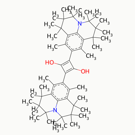 Cc1c(C2=C(O)C(c3c(C)c4c5c(c3C)C(C)(C)C(C)(C)C(C)(C)N5C(C)(C)C(C)(C)C4(C)C)=C2O)c(C)c2c3c1C(C)(C)C(C)(C)C(C)(C)N3C(C)(C)C(C)(C)C2(C)C